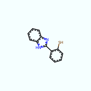 Sc1ccccc1-c1nc2ccccc2[nH]1